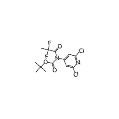 CC(C)(C)OC(=O)N(C(=O)C(C)(F)F)c1cc(Cl)nc(Cl)c1